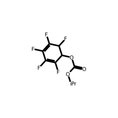 CC(C)OC(=O)OC1C(F)=C(F)C(F)=C(F)C1F